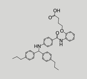 CCCc1ccc(C(Nc2ccc(C(=O)Nc3ccccc3OCCCC(=O)O)cc2)c2ccc(CCC)cc2)cc1